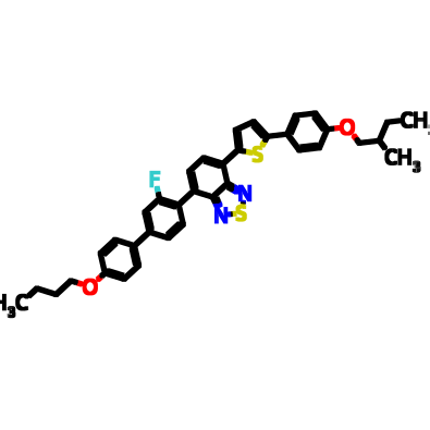 CCCCOc1ccc(-c2ccc(-c3ccc(-c4ccc(-c5ccc(OCC(C)CC)cc5)s4)c4nsnc34)c(F)c2)cc1